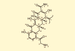 CN(C)[C@@H]1C(O)=C(C(N)=O)C(=O)[C@@]2(O)C(O)=C3C(=O)c4c(O)ccc(C(=O)CN)c4C[C@H]3C[C@@H]12